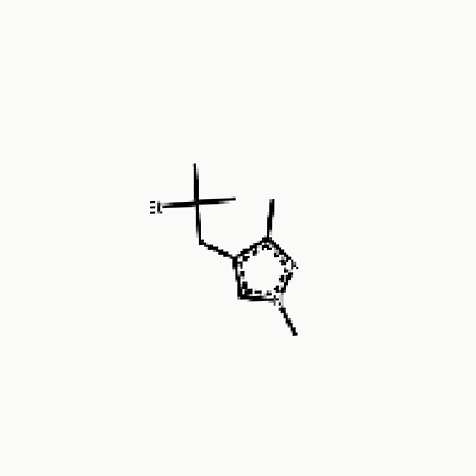 CCC(C)(C)Cc1cn(C)nc1C